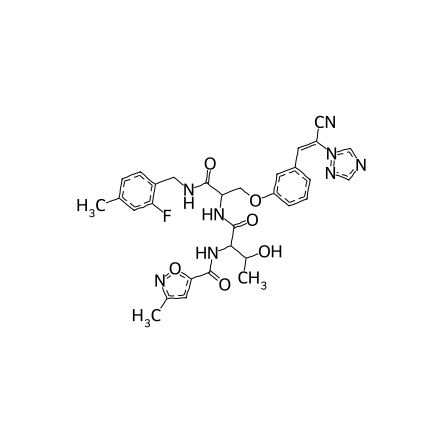 Cc1ccc(CNC(=O)C(COc2cccc(C=C(C#N)n3cncn3)c2)NC(=O)C(NC(=O)c2cc(C)no2)C(C)O)c(F)c1